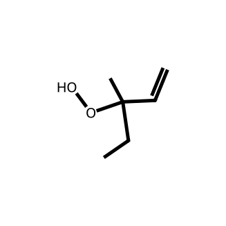 C=CC(C)(CC)OO